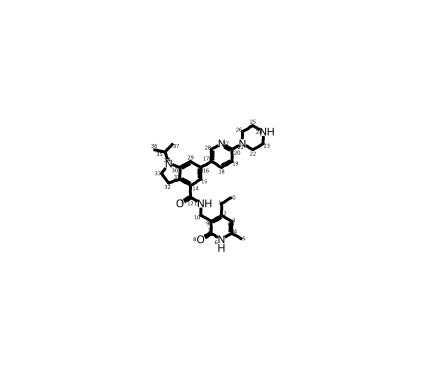 CCc1cc(C)[nH]c(=O)c1CNC(=O)c1cc(-c2ccc(N3CCNCC3)nc2)cc2c1CCN2C(C)C